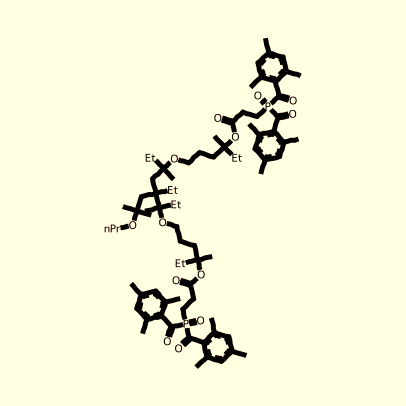 CCCOC(C)(C)CC(CC)(CC(C)(CC)OCCCC(C)(CC)OC(=O)CCP(=O)(C(=O)c1c(C)cc(C)cc1C)C(=O)c1c(C)cc(C)cc1C)C(C)(CC)OCCCC(C)(CC)OC(=O)CCP(=O)(C(=O)c1c(C)cc(C)cc1C)C(=O)c1c(C)cc(C)cc1C